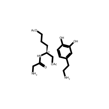 CC(=O)OCCC[C@@H](COC(C)=O)NC(=O)CN.NCCc1ccc(O)c(O)c1